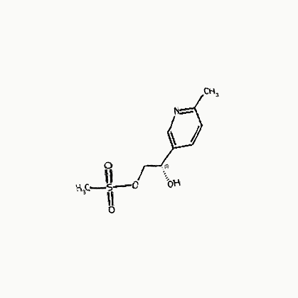 Cc1ccc([C@H](O)COS(C)(=O)=O)cn1